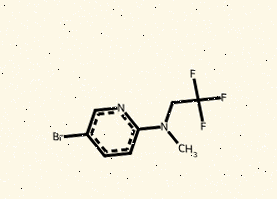 CN(CC(F)(F)F)c1ccc(Br)cn1